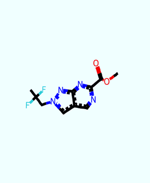 COC(=O)c1ncc2cn(CC(C)(F)F)nc2n1